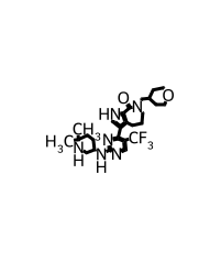 CC1(C)CC[C@H](Nc2ncc(C(F)(F)F)c(-c3c[nH]c4c3CCCN(CC3CCOCC3)C4=O)n2)CN1